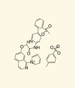 CCCC(Oc1ccc2ccnc(-[n+]3ccccc3)c2c1)C(=O)Nc1ccc(-c2ccccc2S(C)(=O)=O)cc1.Cc1ccc(S(=O)(=O)[O-])cc1